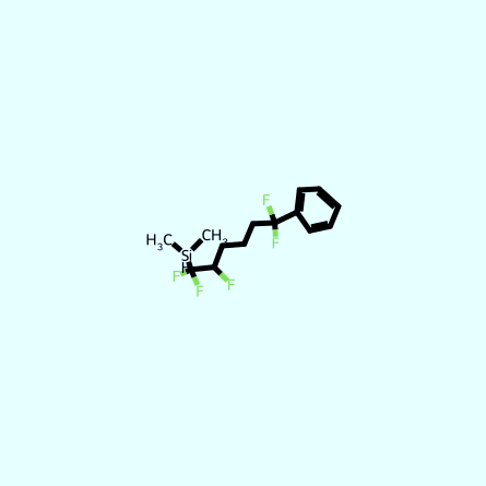 C[SiH](C)C(F)(F)C(F)CCCC(F)(F)c1ccccc1